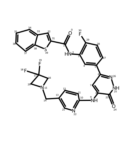 O=C(Nc1cc(-c2cc(Nc3ccc(CN4CC(F)(F)C4)cn3)c(=O)[nH]n2)ccc1F)c1cc2ccccc2s1